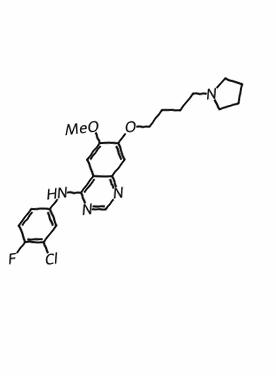 COc1cc2c(Nc3ccc(F)c(Cl)c3)ncnc2cc1OCCCCN1CCCC1